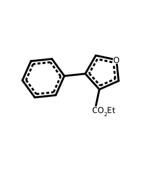 CCOC(=O)c1cocc1-c1ccccc1